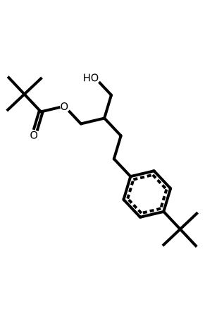 CC(C)(C)C(=O)OCC(CO)CCc1ccc(C(C)(C)C)cc1